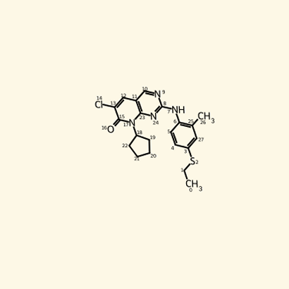 CCSc1ccc(Nc2ncc3cc(Cl)c(=O)n(C4CCCC4)c3n2)c(C)c1